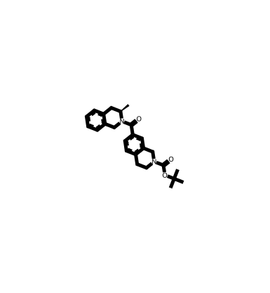 C[C@@H]1Cc2ccccc2CN1C(=O)c1ccc2c(c1)CN(C(=O)OC(C)(C)C)CC2